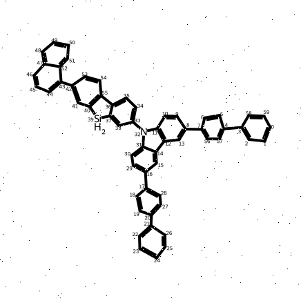 c1ccc(-c2ccc(-c3ccc4c(c3)c3cc(-c5ccc(-c6ccccc6)cc5)ccc3n4-c3ccc4c(c3)[SiH2]c3cc(-c5cccc6ccccc56)ccc3-4)cc2)cc1